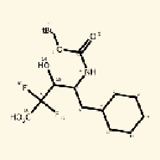 CC(C)(C)OC(=O)NC(CC1CCCCC1)C(O)C(F)(F)C(=O)O